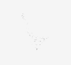 [N-]=[N+]=NCCOCCNC(=S)Nc1ccc(-c2c3ccc(=O)cc-3oc3cc(O)ccc23)c(C(=O)O)c1